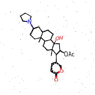 CC(=O)OC1CC2(O)C3CCC4CC(N5CCCC5)CCC4(C)C3CCC2(C)C1c1ccc(=O)oc1